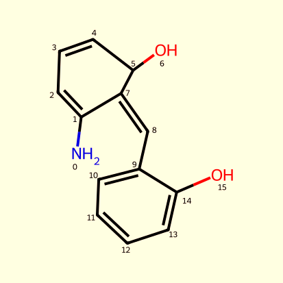 NC1=CC=CC(O)C1=Cc1ccccc1O